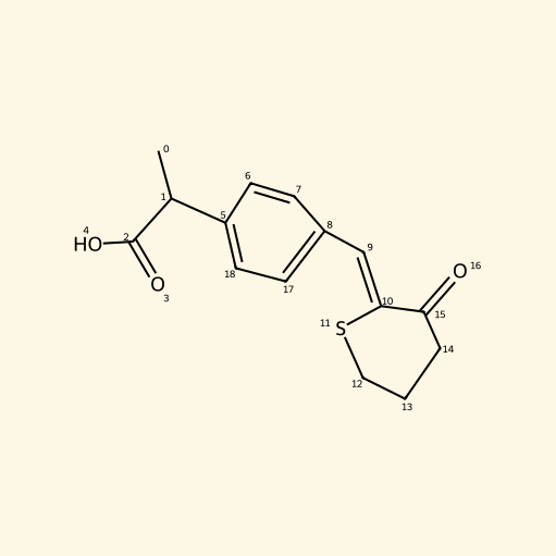 CC(C(=O)O)c1ccc(/C=C2\SCCCC2=O)cc1